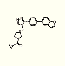 O=C(C1CC1)N1CC[C@H](Cn2cnnc2-c2ccc(-c3ccc4occc4c3)cc2)C1